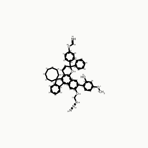 COc1ccc(-c2cc3c4c(c5c(c3cc2OCN=[N+]=[N-])-c2ccccc2C52CCCCCCC2)C=CC(c2ccccc2)(c2ccc(OC=N)cc2)O4)c(O)c1